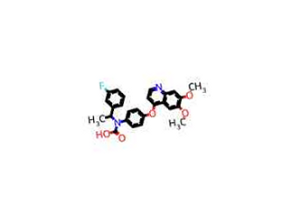 COc1cc2nccc(Oc3ccc(N(C(=O)O)C(C)c4cccc(F)c4)cc3)c2cc1OC